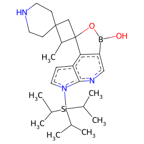 CC1C2(CCNCC2)CC12OB(O)c1cnc3c(ccn3[Si](C(C)C)(C(C)C)C(C)C)c12